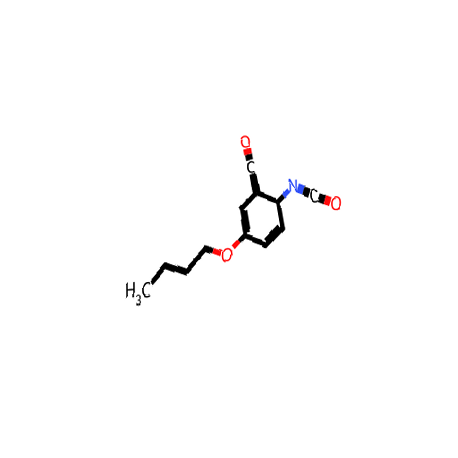 CCCCOC1=CC(=C=O)C(N=C=O)C=C1